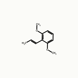 [CH2]/C=C/c1c(OC)cccc1OC